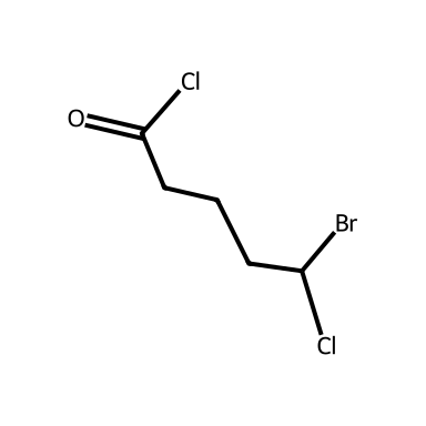 O=C(Cl)CCCC(Cl)Br